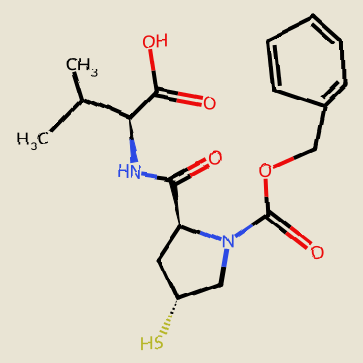 CC(C)[C@H](NC(=O)[C@@H]1C[C@@H](S)CN1C(=O)OCc1ccccc1)C(=O)O